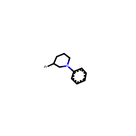 CC(C)C1CCCN(c2ccccc2)C1